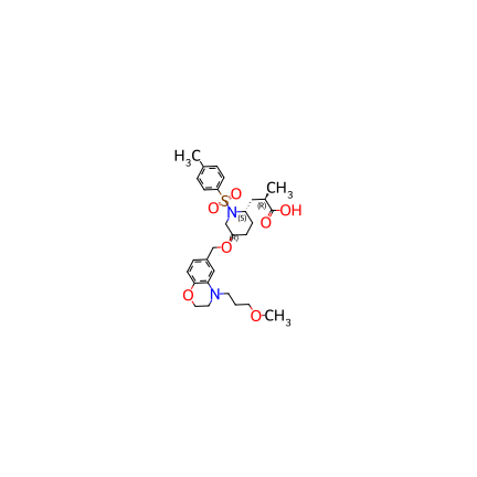 COCCCN1CCOc2ccc(CO[C@@H]3CC[C@@H](C[C@@H](C)C(=O)O)N(S(=O)(=O)c4ccc(C)cc4)C3)cc21